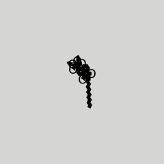 CCCCCCCCCCCCN1C(=O)c2cccc3c(N(C(=O)OCC)C(=O)OCC)ccc(c23)C1=O